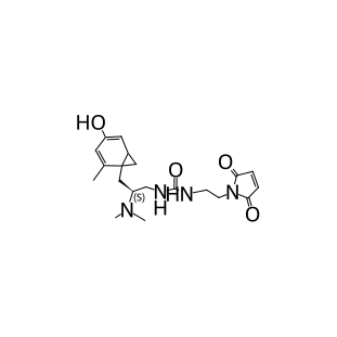 CC1=CC(O)=CC2CC12C[C@@H](CNC(=O)NCCN1C(=O)C=CC1=O)N(C)C